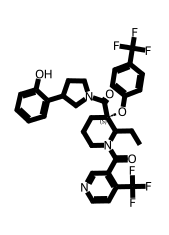 CCC1N(C(=O)c2cnccc2C(F)(F)F)CCC[C@@]1(Oc1ccc(C(F)(F)F)cc1)C(=O)N1CCC(c2ccccc2O)C1